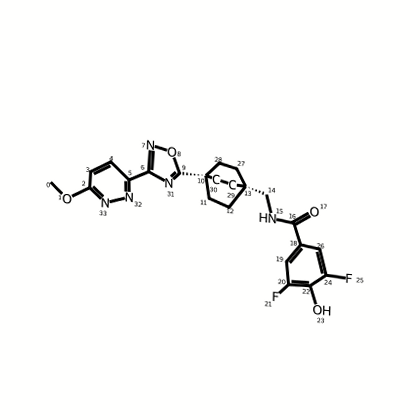 COc1ccc(-c2noc([C@]34CC[C@](CNC(=O)c5cc(F)c(O)c(F)c5)(CC3)CC4)n2)nn1